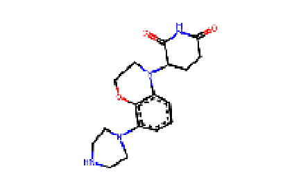 O=C1CC[C@@H](N2CCOc3c(N4CCNCC4)cccc32)C(=O)N1